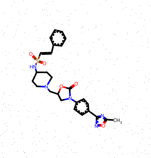 Cc1nc(-c2ccc(N3CC(CN4CCC(NS(=O)(=O)C=Cc5ccccc5)CC4)OC3=O)cc2)no1